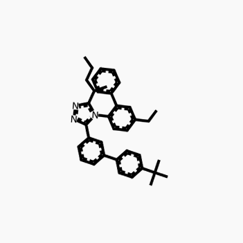 CCCC(C)c1nnc(-c2cccc(-c3ccc(C(C)(C)C)cc3)c2)n1-c1ccc(CC)cc1-c1ccccc1